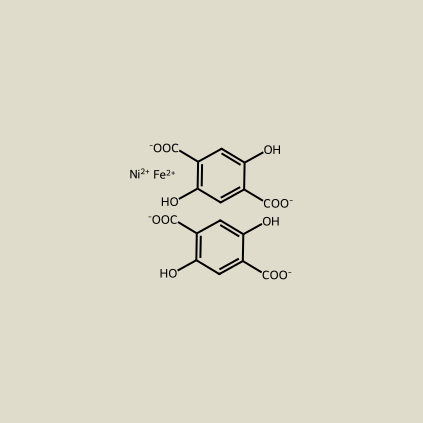 O=C([O-])c1cc(O)c(C(=O)[O-])cc1O.O=C([O-])c1cc(O)c(C(=O)[O-])cc1O.[Fe+2].[Ni+2]